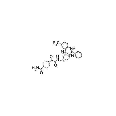 NC(=O)C1CCN(C(=O)C(=O)NC[C@H]2CC[C@@H]3[C@H](O2)c2cc(C(F)(F)F)ccc2N[C@H]3c2ccccc2)CC1